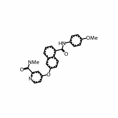 CNC(=O)c1cc(Oc2ccc3c(C(=O)Nc4ccc(OC)cc4)cccc3c2)ccn1